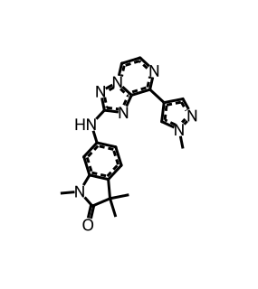 CN1C(=O)C(C)(C)c2ccc(Nc3nc4c(-c5cnn(C)c5)nccn4n3)cc21